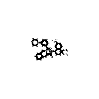 Cc1ccc2c(c1)C(NC(=O)C1Cc3ccccc3CN1C(=O)c1cccc(N3CCOCC3)c1)CCC2(C)C